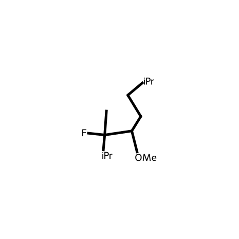 COC(CCC(C)C)C(C)(F)C(C)C